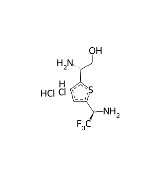 Cl.Cl.N[C@H](CO)c1ccc([C@@H](N)C(F)(F)F)s1